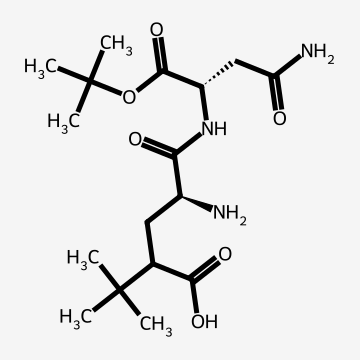 CC(C)(C)OC(=O)[C@H](CC(N)=O)NC(=O)[C@@H](N)CC(C(=O)O)C(C)(C)C